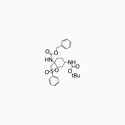 CC(C)(C)OC(=O)NC1CCC(CS(=O)(=O)c2ccccc2)(NC(=O)OCc2ccccc2)CC1